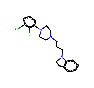 Clc1cccc(N2CCN(CCCN3CCc4ccccc43)CC2)c1Cl